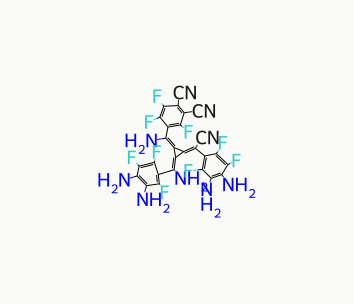 N#C/C(=C1\C(=C(N)c2c(F)c(F)c(C#N)c(C#N)c2F)\C1=C(\N)c1c(F)c(N)c(N)c(F)c1F)c1c(F)c(N)c(N)c(F)c1F